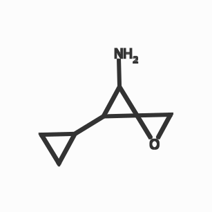 NC1C(C2CC2)C12CO2